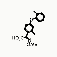 CON=C(C(=O)O)c1ccc(Oc2ccccc2C)cc1C